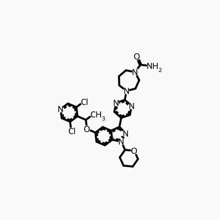 CC(Oc1ccc2c(c1)c(-c1cnc(N3CCCN(C(N)=O)CC3)nc1)nn2C1CCCCO1)c1c(Cl)cncc1Cl